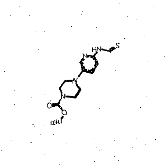 CC(C)(C)OC(=O)N1CCN(c2ccc(NC=S)nc2)CC1